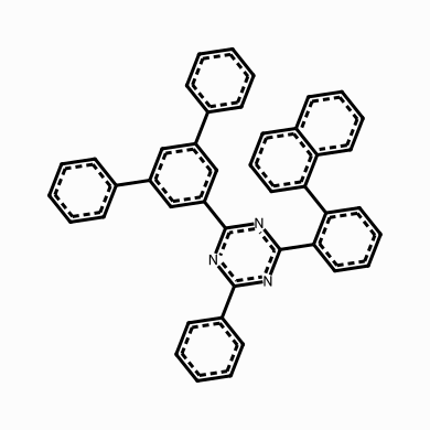 c1ccc(-c2cc(-c3ccccc3)cc(-c3nc(-c4ccccc4)nc(-c4ccccc4-c4cccc5ccccc45)n3)c2)cc1